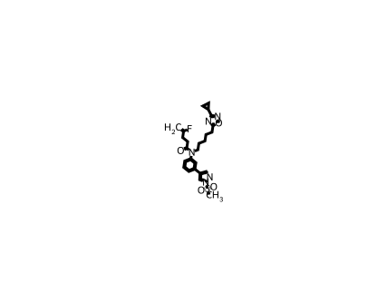 C=C(F)CCC(=O)N(CCCCCc1nc(C2CC2)no1)c1cccc(-c2cnn(S(C)(=O)=O)c2)c1